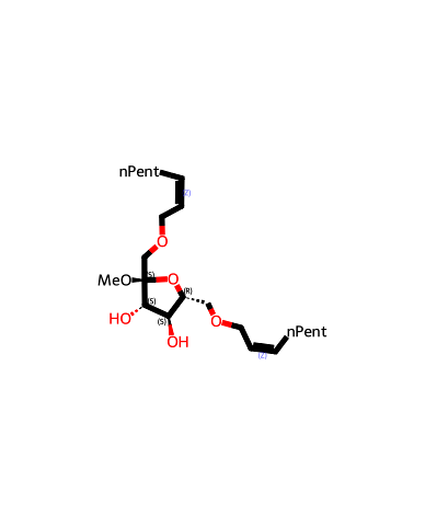 CCCCC/C=C\COC[C@H]1O[C@](COC/C=C\CCCCC)(OC)[C@@H](O)[C@@H]1O